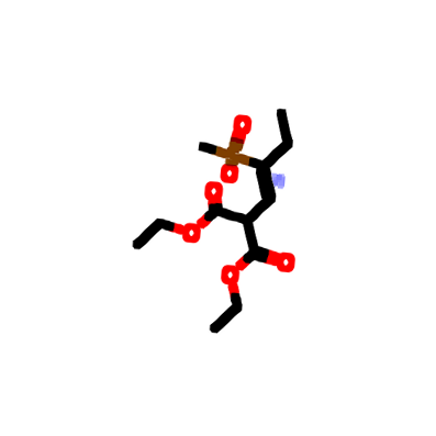 CCOC(=O)C(/C=C(/CC)S(C)(=O)=O)C(=O)OCC